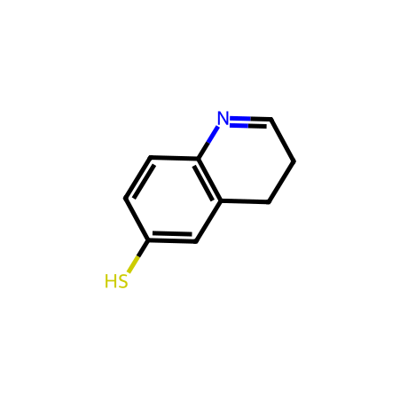 Sc1ccc2c(c1)CCC=N2